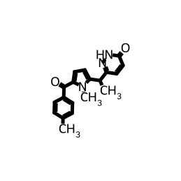 Cc1ccc(C(=O)c2ccc(C(C)c3ccc(=O)[nH]n3)n2C)cc1